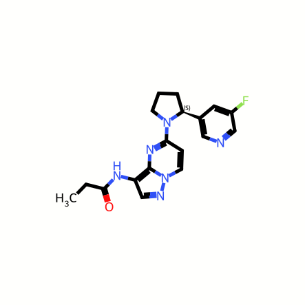 CCC(=O)Nc1cnn2ccc(N3CCC[C@H]3c3cncc(F)c3)nc12